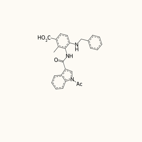 CC(=O)n1cc(C(=O)Nc2c(NCc3ccccc3)ccc(C(=O)O)c2C)c2ccccc21